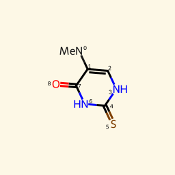 CNc1c[nH]c(=S)[nH]c1=O